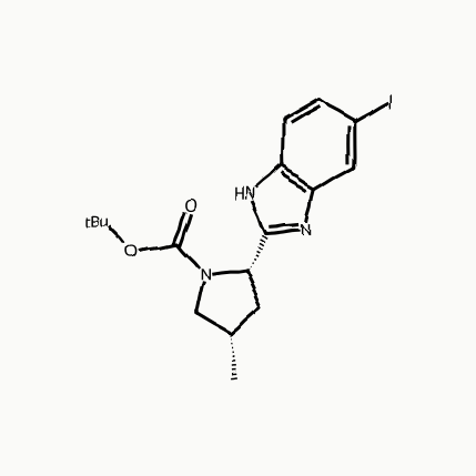 C[C@H]1C[C@@H](c2nc3cc(I)ccc3[nH]2)N(C(=O)OC(C)(C)C)C1